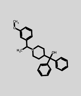 COc1cccc(C(C)N2CCC(C(O)(c3ccccc3)c3ccccc3)CC2)c1